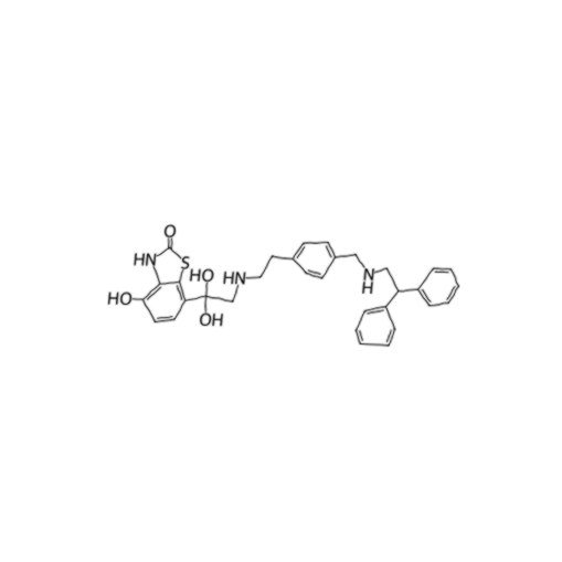 O=c1[nH]c2c(O)ccc(C(O)(O)CNCCc3ccc(CNCC(c4ccccc4)c4ccccc4)cc3)c2s1